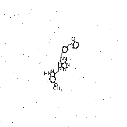 COc1ccc2[nH]nc(CNc3ncnc4nn(Cc5ccc(Cn6ccccc6=O)cc5)cc34)c2c1